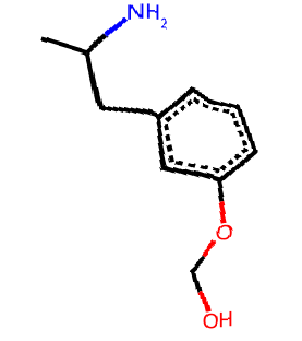 CC(N)Cc1cccc(OCO)c1